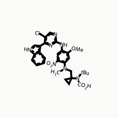 COc1cc(N(C)CC2(N(C(=O)O)C(C)(C)C)CC2)c([N+](=O)[O-])cc1Nc1ncc(Cl)c(-c2c[nH]c3ccccc23)n1